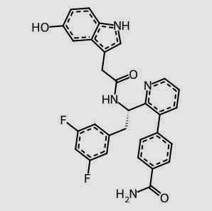 NC(=O)c1ccc(-c2cccnc2[C@H](Cc2cc(F)cc(F)c2)NC(=O)Cc2c[nH]c3ccc(O)cc23)cc1